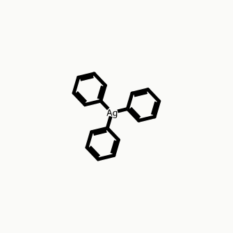 c1cc[c]([Ag]([c]2ccccc2)[c]2ccccc2)cc1